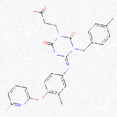 Cc1ccc(Cn2c(=O)n(CCC(=O)O)c(=O)[nH]/c2=N\c2ccc(Oc3cccc(F)n3)c(C)c2)cc1